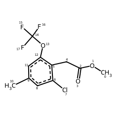 COC(=O)Cc1c(Cl)cc(C)cc1OC(F)(F)F